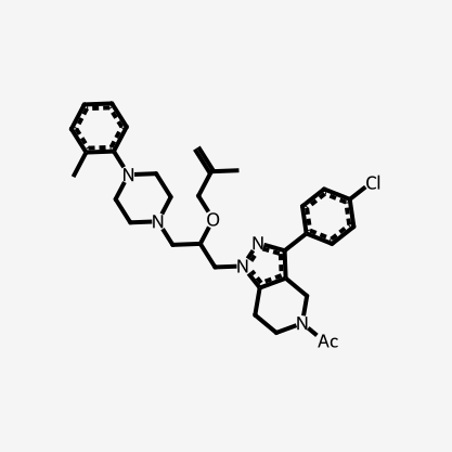 C=C(C)COC(CN1CCN(c2ccccc2C)CC1)Cn1nc(-c2ccc(Cl)cc2)c2c1CCN(C(C)=O)C2